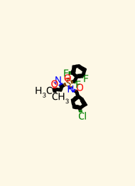 CC1(C)CC(S(=O)(=NC(=O)c2ccc(Cl)cc2)C(F)c2c(F)cccc2F)=NO1